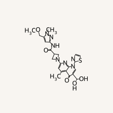 COCc1cc(NC(=O)C2CN(c3cc(C)c4c(=O)c(C(O)O)cn(-c5nccs5)c4n3)C2)nn1C